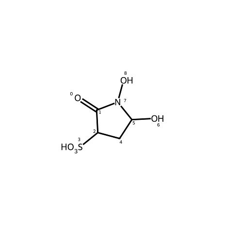 O=C1C(S(=O)(=O)O)CC(O)N1O